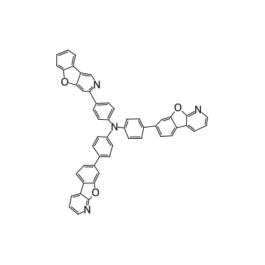 c1ccc2c(c1)oc1cc(-c3ccc(N(c4ccc(-c5ccc6c(c5)oc5ncccc56)cc4)c4ccc(-c5ccc6c(c5)oc5ncccc56)cc4)cc3)ncc12